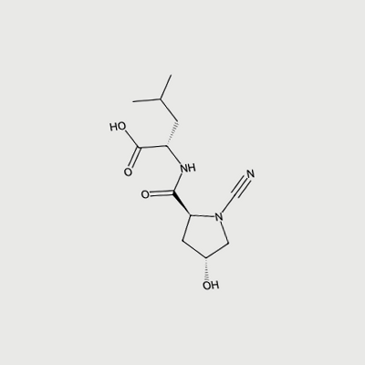 CC(C)C[C@H](NC(=O)[C@@H]1C[C@@H](O)CN1C#N)C(=O)O